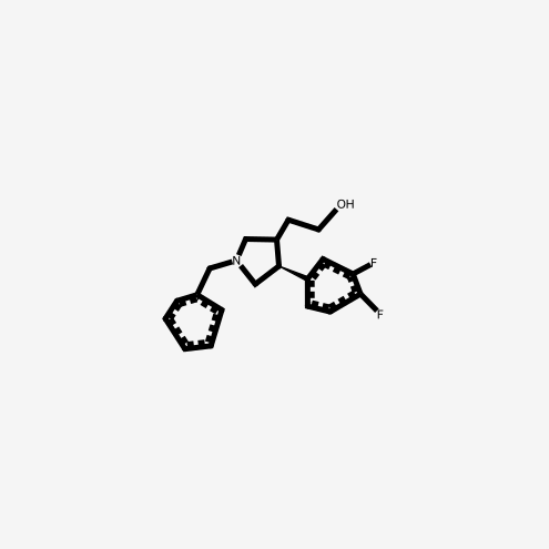 OCCC1CN(Cc2ccccc2)C[C@@H]1c1ccc(F)c(F)c1